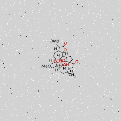 C=C1CC[C@H]2C(COC)C(=O)O[C@@H]2[C@@H]2[C@H]1C[C@@]1(O)[C@]2(O)CC[C@]12C(=O)C[C@H]1C(=C)CC[C@H]3C(COC)C(=O)O[C@@H]3[C@H]12